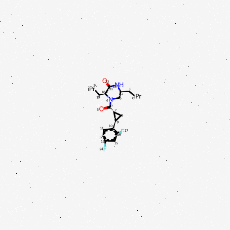 CC(C)C[C@H]1CN(C(=O)[C@@H]2C[C@H]2c2ccc(F)cc2F)[C@@H](CC(C)C)C(=O)N1